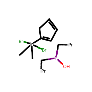 CC(C)CP(O)CC(C)C.[CH3][Ir]([CH3])([Br])([Br])[C]1=CC=CC1